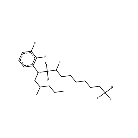 CCCC(C)CN(c1cccc(F)c1F)C(F)(F)C(F)CCCCCCC(F)(F)F